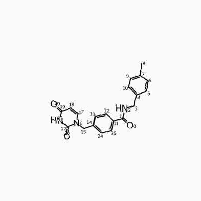 O=C(NCc1ccc(I)cc1)c1ccc(Cn2ccc(=O)[nH]c2=O)cc1